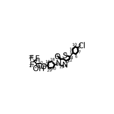 O=c1c2sc(-c3ccc(Cl)cc3)cc2ncn1-c1ccc(OCC(O)C(F)(F)F)cc1